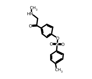 CNCC(=O)c1ccc(OS(=O)(=O)c2ccc(C)cc2)cc1